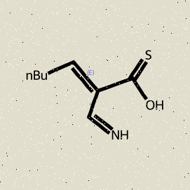 CCCC/C=C(\C=N)C(O)=S